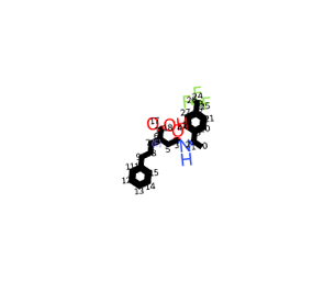 CC(NC(=O)C/C(=C\CCc1ccccc1)C(=O)O)c1ccc(C(F)(F)F)cc1